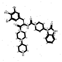 O=C(N[C@H](Cc1cc(Br)c(O)c(Br)c1)C(=O)N1CCN(C2CCNCC2)CC1)N1CCC(n2c(=O)[nH]c3ccccc32)CC1